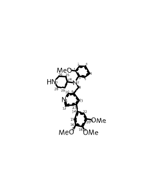 COc1ccccc1N(Cc1cncc(-c2cc(OC)c(OC)c(OC)c2)c1)C1CCNCC1